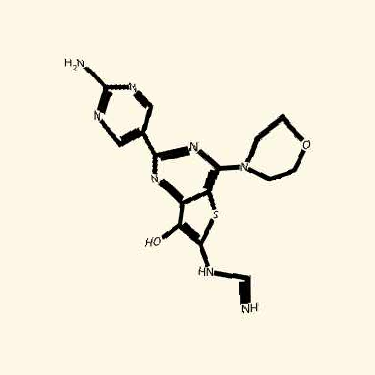 N=CNc1sc2c(N3CCOCC3)nc(-c3cnc(N)nc3)nc2c1O